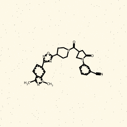 Cc1nn(C)c2cc(-c3noc(C4CCN(C(=O)C5CC(=O)N(c6cccc(C#N)c6)C5)CC4)n3)ccc12